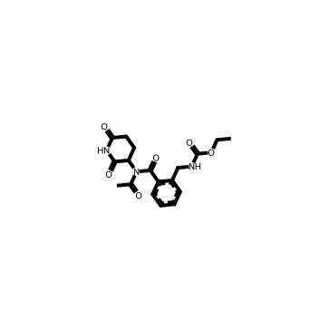 CCOC(=O)NCc1ccccc1C(=O)N(C(C)=O)C1CCC(=O)NC1=O